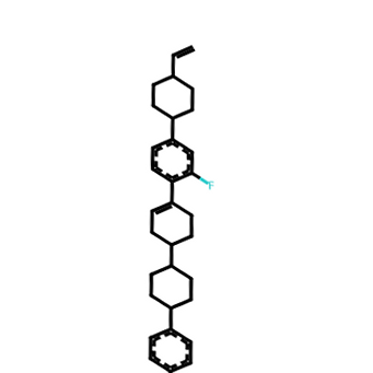 C=CC1CCC(c2ccc(C3=CCC(C4CCC(c5ccc(CCC)cc5)CC4)CC3)c(F)c2)CC1